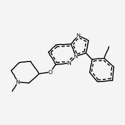 Cc1ccccc1-c1cnc2ccc(OC3CCCN(C)C3)nn12